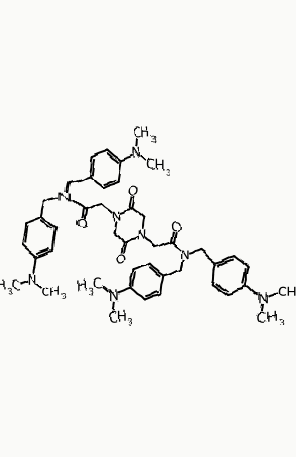 CN(C)c1ccc(CN(Cc2ccc(N(C)C)cc2)C(=O)CN2CC(=O)N(CC(=O)N(Cc3ccc(N(C)C)cc3)Cc3ccc(N(C)C)cc3)CC2=O)cc1